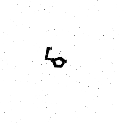 N=Nn1ccnc1